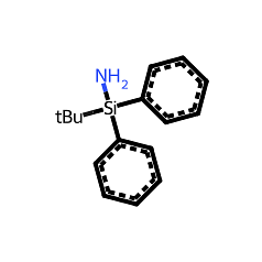 CC(C)(C)[Si](N)(c1ccccc1)c1ccccc1